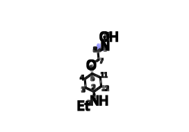 CCN[C@H]1CC[C@H](OC/C=N/O)CC1